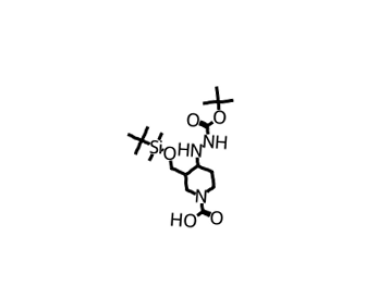 CC(C)(C)OC(=O)NNC1CCN(C(=O)O)CC1CO[Si](C)(C)C(C)(C)C